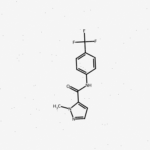 Cn1nccc1C(=O)Nc1ccc(C(F)(F)F)cc1